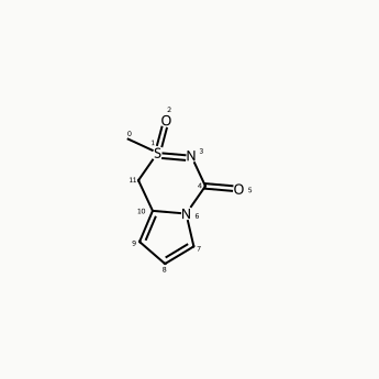 CS1(=O)=NC(=O)n2cccc2C1